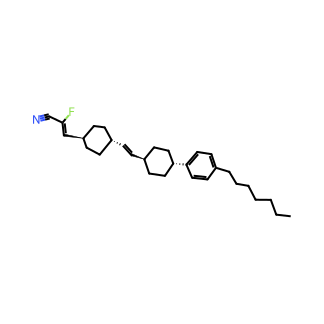 CCCCCCCc1ccc([C@H]2CC[C@H](C=C[C@H]3CC[C@H](C=C(F)C#N)CC3)CC2)cc1